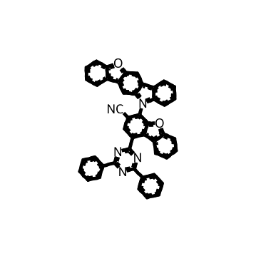 N#Cc1cc(-c2nc(-c3ccccc3)nc(-c3ccccc3)n2)c2c(oc3ccccc32)c1-n1c2ccccc2c2cc3oc4ccccc4c3cc21